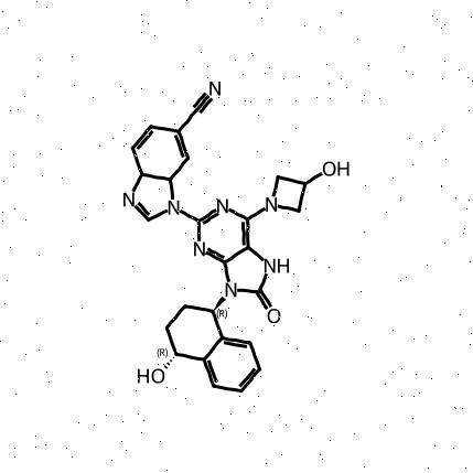 N#CC1=CC2C(C=C1)N=CN2c1nc(N2CC(O)C2)c2[nH]c(=O)n([C@@H]3CC[C@@H](O)c4ccccc43)c2n1